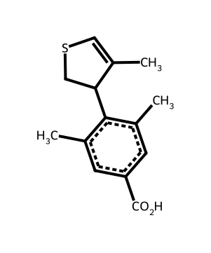 CC1=CSCC1c1c(C)cc(C(=O)O)cc1C